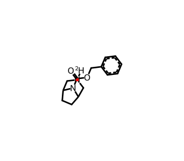 [2H]N1CC2CCC(C1)N2C(=O)OCc1ccccc1